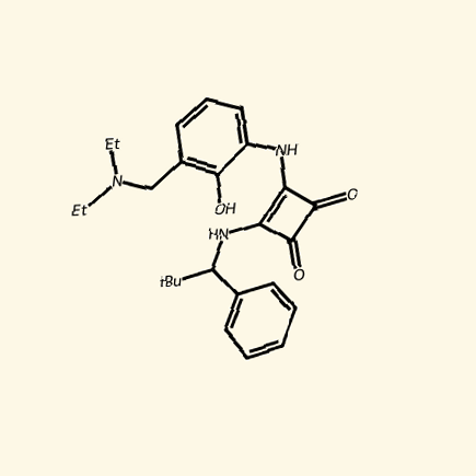 CCN(CC)Cc1cccc(Nc2c(NC(c3ccccc3)C(C)(C)C)c(=O)c2=O)c1O